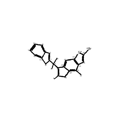 CC1=C(C(C)(C)C2=Cc3ccccc3C2)c2cc3sc(Br)cc3c(C)c2C1